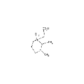 CC1N(C)CCC[N+]1(C)CC(=O)O